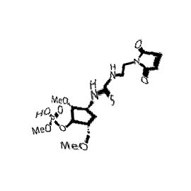 COC[C@H]1C[C@H](NC(=S)NCCN2C(=O)C=CC2=O)[C@@H](OC)C1OP(=O)(O)OC